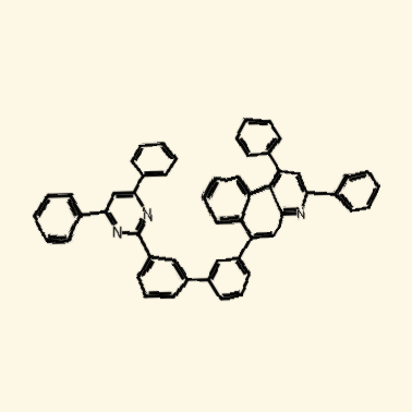 c1ccc(-c2cc(-c3ccccc3)nc(-c3cccc(-c4cccc(-c5cc6nc(-c7ccccc7)cc(-c7ccccc7)c6c6ccccc56)c4)c3)n2)cc1